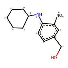 O=[N+]([O-])c1cc(CO)ccc1NC1CCCCC1